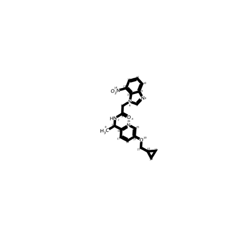 CC(NC(=O)Cn1cnc2cccc([N+](=O)[O-])c21)c1ccc(OCC2CC2)cn1